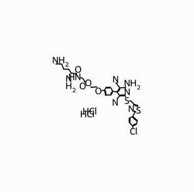 Cl.Cl.N#Cc1c(N)nc(SCc2csc(-c3ccc(Cl)cc3)n2)c(C#N)c1-c1ccc(OCCOC(=O)CNC(=O)[C@@H](N)CCCCN)cc1